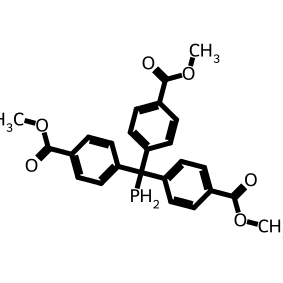 COC(=O)c1ccc(C(P)(c2ccc(C(=O)OC)cc2)c2ccc(C(=O)OC)cc2)cc1